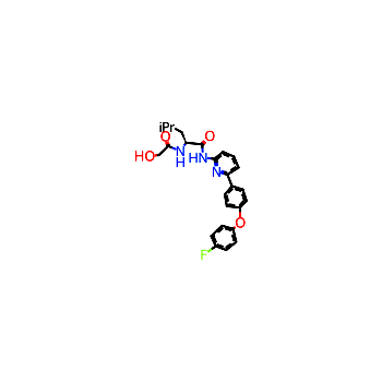 CC(C)C[C@H](NC(=O)CO)C(=O)Nc1cccc(-c2ccc(Oc3ccc(F)cc3)cc2)n1